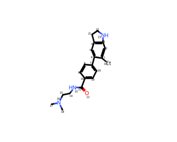 CCc1cc2c(cc1-c1ccc(C(=O)NCCN(C)C)cc1)CCN2